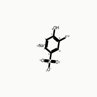 O=S(=O)([O-])c1ccc(O)c(F)c1.[Na+]